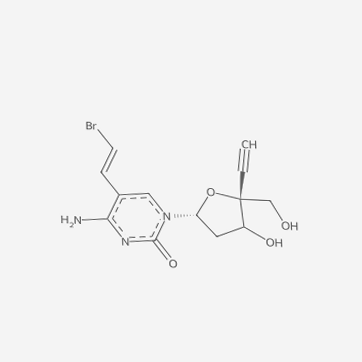 C#C[C@]1(CO)O[C@@H](n2cc(C=CBr)c(N)nc2=O)CC1O